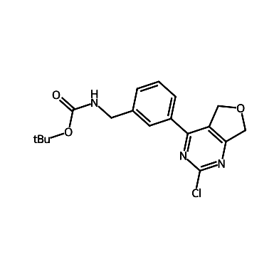 CC(C)(C)OC(=O)NCc1cccc(-c2nc(Cl)nc3c2COC3)c1